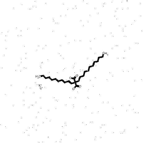 CCCCCCCCCCCCC(CCCCCCCCCCC)(C(=O)[O-])C(=O)[O-].[K+].[Li+]